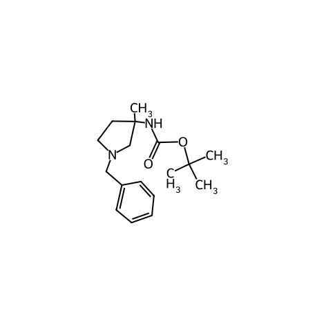 CC1(NC(=O)OC(C)(C)C)CCN(Cc2ccccc2)C1